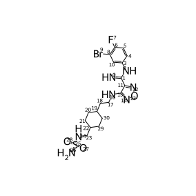 N=C(Nc1ccc(F)c(Br)c1)c1nonc1NCCC1CCC(CNS(N)(=O)=O)CC1